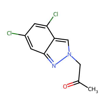 CC(=O)Cn1cc2c(Cl)cc(Cl)cc2n1